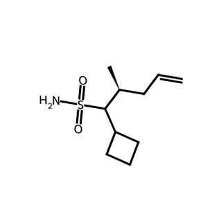 C=CC[C@H](C)C(C1CCC1)S(N)(=O)=O